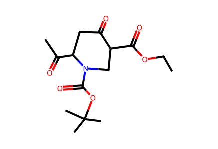 CCOC(=O)C1CN(C(=O)OC(C)(C)C)C(C(C)=O)CC1=O